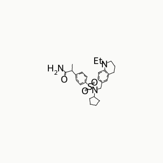 CCN1CCCc2cc(CN(C3CCCC3)S(=O)(=O)c3ccc(C(C)C(N)=O)cc3)ccc21